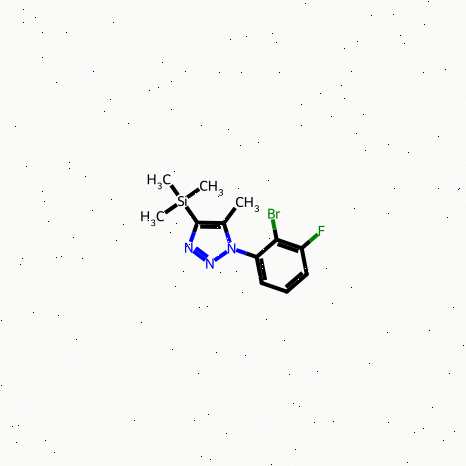 Cc1c([Si](C)(C)C)nnn1-c1cccc(F)c1Br